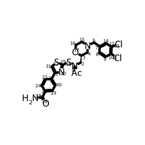 CC(=O)N(C[C@@H]1CN(Cc2ccc(Cl)c(Cl)c2)CCO1)Sc1nc(-c2ccc(C(N)=O)cc2)cs1